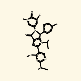 COc1nc(N(C)C)ncc1-c1cc2c(n1C(C)C)C(c1ccc(Cl)cc1)N(c1cc(Cl)c(=O)n(C)c1)C2=O